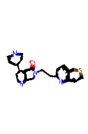 O=C1c2c(-c3ccncc3)ccnc2CN1CCc1ccc2sccc2n1